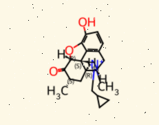 C[C@H]1C[C@H]2[C@H]3Cc4ccc(O)c5c4[C@@]2(CC[N+]3(C)CC2CC2)[C@@H](O5)C1=O